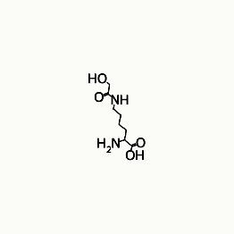 NC(CCCCNC(=O)CO)C(=O)O